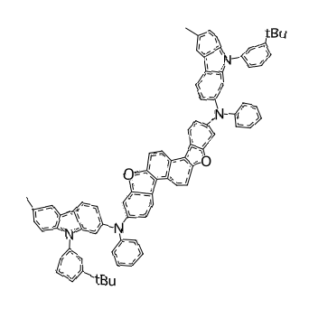 Cc1ccc2c(c1)c1ccc(N(c3ccccc3)c3ccc4c(c3)oc3ccc5c(ccc6oc7cc(N(c8ccccc8)c8ccc9c%10cc(C)ccc%10n(-c%10cccc(C(C)(C)C)c%10)c9c8)ccc7c65)c34)cc1n2-c1cccc(C(C)(C)C)c1